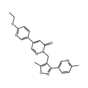 CCOc1ccc(-c2cnn(Cc3c(-c4ccc(C)nc4)noc3C)c(=O)c2)cn1